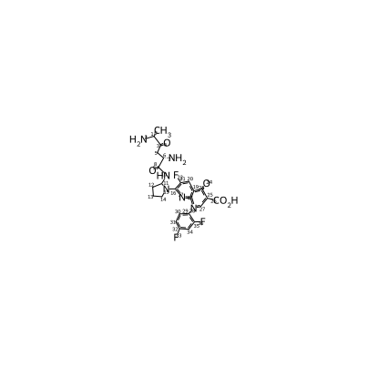 C[C@H](N)C(=O)C[C@H](N)C(=O)NC1CCCN1c1nc2c(cc1F)c(=O)c(C(=O)O)cn2-c1ccc(F)cc1F